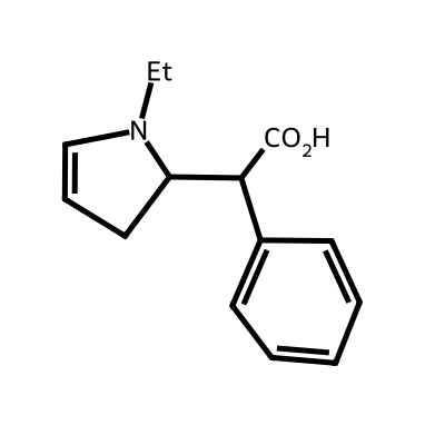 CCN1C=CCC1C(C(=O)O)c1ccccc1